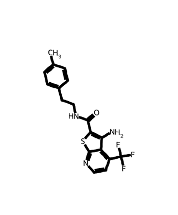 Cc1ccc(CCNC(=O)c2sc3nccc(C(F)(F)F)c3c2N)cc1